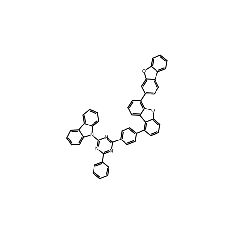 c1ccc(-c2nc(-c3ccc(-c4cccc5oc6c(-c7ccc8c(c7)oc7ccccc78)cccc6c45)cc3)nc(-n3c4ccccc4c4ccccc43)n2)cc1